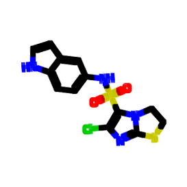 O=S(=O)(Nc1ccc2[nH]ccc2c1)c1c(Cl)nc2n1CCS2